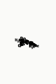 CC(=O)N(C)Cc1ccc(N2CCC(n3c(=O)c(=O)n(C)c4cc(Cl)cnc43)CC2)cc1